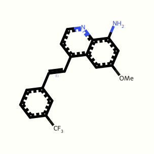 COc1cc(N)c2nccc(/C=C/c3cccc(C(F)(F)F)c3)c2c1